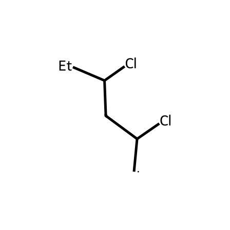 [CH2]C(Cl)CC(Cl)CC